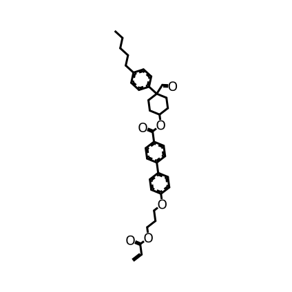 C=CC(=O)OCCCOc1ccc(-c2ccc(C(=O)OC3CCC(C=O)(c4ccc(CCCCC)cc4)CC3)cc2)cc1